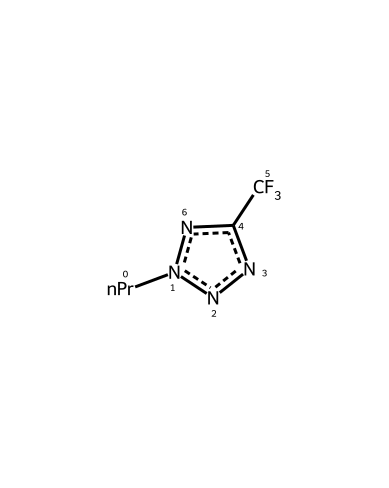 CCCn1nnc(C(F)(F)F)n1